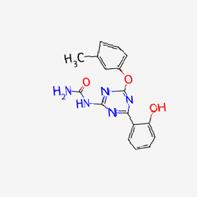 Cc1cccc(Oc2nc(NC(N)=O)nc(-c3ccccc3O)n2)c1